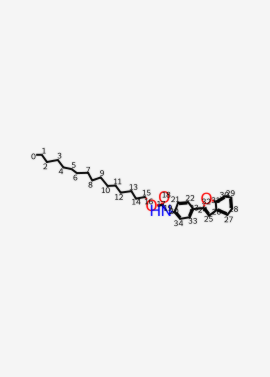 CCCCCCCCCCCCCCCCOC(=O)Nc1ccc(-c2cc3ccccc3o2)cc1